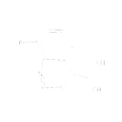 CC(C)c1ccnc2c(F)cccc12